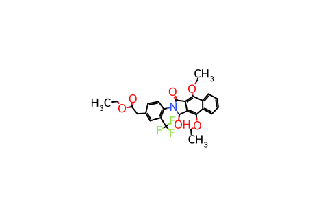 CCOC(=O)Cc1ccc(N2C(=O)c3c(c(OCC)c4ccccc4c3OCC)C2O)c(C(F)(F)F)c1